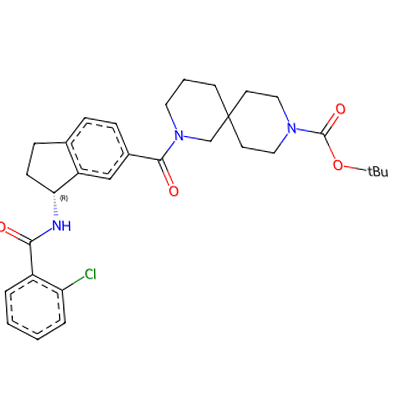 CC(C)(C)OC(=O)N1CCC2(CCCN(C(=O)c3ccc4c(c3)[C@H](NC(=O)c3ccccc3Cl)CC4)C2)CC1